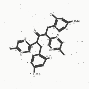 COc1ccc(CC(C(=O)C(Cc2ccc(OC)cc2Cl)c2cnc(C)cn2)c2cnc(C)cn2)c(Cl)c1